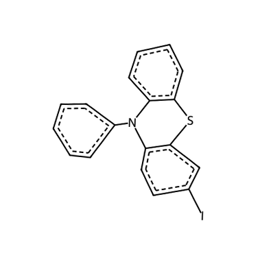 Ic1ccc2c(c1)Sc1ccccc1N2c1ccccc1